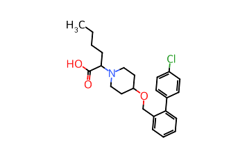 CCCCC(C(=O)O)N1CCC(OCc2ccccc2-c2ccc(Cl)cc2)CC1